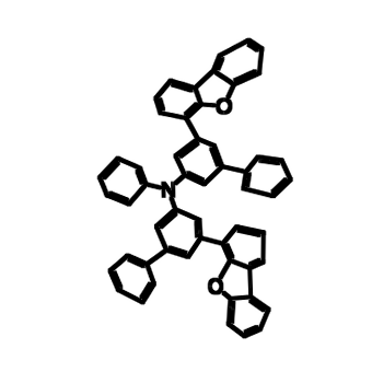 c1ccc(-c2cc(-c3cccc4c3oc3ccccc34)cc(N(c3ccccc3)c3cc(-c4ccccc4)cc(-c4cccc5c4oc4ccccc45)c3)c2)cc1